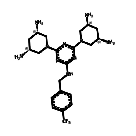 N[C@@H]1C[C@H](N)CN(c2nc(NCc3ccc(C(F)(F)F)cc3)nc(N3C[C@H](N)C[C@H](N)C3)n2)C1